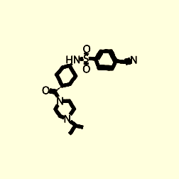 CC(C)N1CCN(C(=O)[C@H]2CC[C@H](NS(=O)(=O)c3ccc(C#N)cc3)CC2)CC1